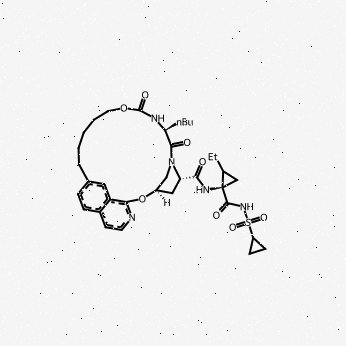 CCCC[C@@H]1NC(=O)OCCCCCc2ccc3ccnc(c3c2)O[C@@H]2C[C@@H](C(=O)N[C@]3(C(=O)NS(=O)(=O)C4CC4)CC3CC)N(C2)C1=O